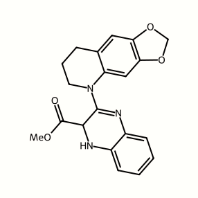 COC(=O)C1Nc2ccccc2N=C1N1CCCc2cc3c(cc21)OCO3